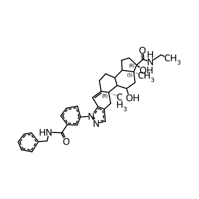 CCNC(=O)[C@@]1(O)CCC2C3CCC4=Cc5c(cnn5-c5cccc(C(=O)NCc6ccccc6)c5)C[C@]4(C)C3C(O)C[C@@]21C